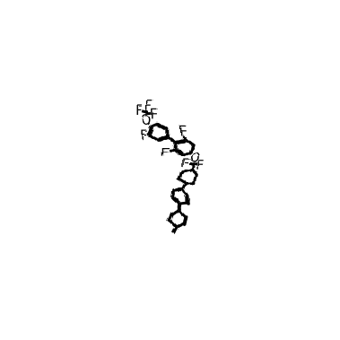 CC1CCC(c2ccc(C3CCC(C(F)(F)Oc4cc(F)c(-c5ccc(OC(F)(F)F)c(F)c5)c(F)c4)CC3)cc2)CC1